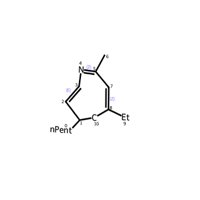 CCCCCC1/C=C/N=C(C)\C=C(\CC)C1